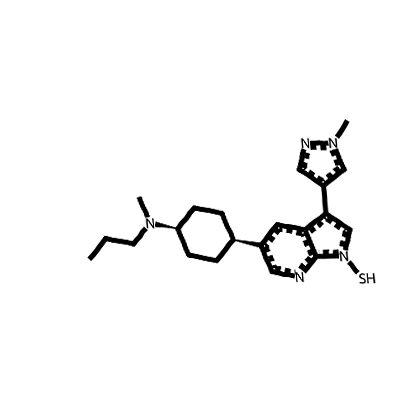 CCCN(C)[C@H]1CC[C@@H](c2cnc3c(c2)c(-c2cnn(C)c2)cn3S)CC1